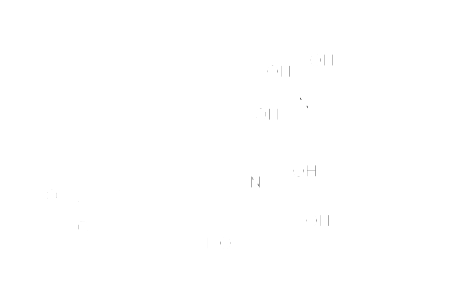 CCCCCCC(C(O)C(O)C(CCCCCCCC(=O)OC)N(CCO)CCO)N(CO)CO